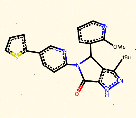 COc1ncccc1C1c2c(C(C)(C)C)n[nH]c2C(=O)N1c1ccc(-c2cccs2)cn1